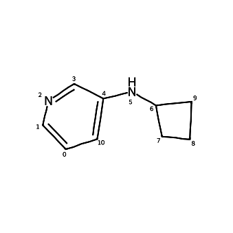 c1cncc(NC2CCC2)c1